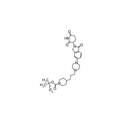 CC(C)(C)OC(=O)N1CCC(CCCN2CCN(c3ccc4c(c3)CN(C3CCC(=O)NC3=O)C4=O)CC2)CC1